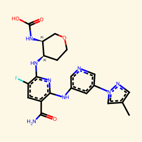 Cc1cnn(-c2cncc(Nc3nc(N[C@@H]4CCOC[C@@H]4NC(=O)O)c(F)cc3C(N)=O)c2)c1